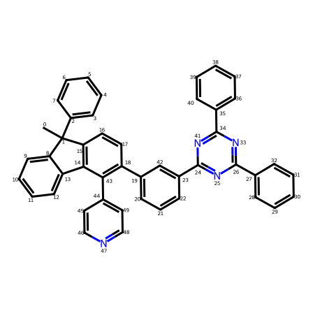 CC1(c2ccccc2)c2ccccc2-c2c1ccc(-c1cccc(-c3nc(-c4ccccc4)nc(-c4ccccc4)n3)c1)c2-c1ccncc1